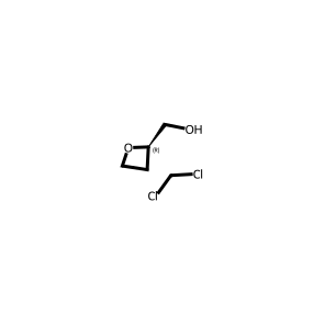 ClCCl.OC[C@H]1CCO1